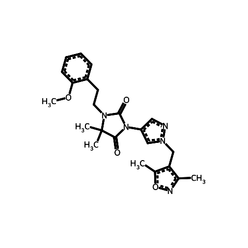 COc1ccccc1CCN1C(=O)N(c2cnn(Cc3c(C)noc3C)c2)C(=O)C1(C)C